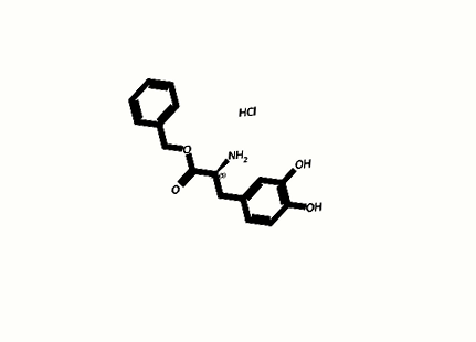 Cl.N[C@@H](Cc1ccc(O)c(O)c1)C(=O)OCc1ccccc1